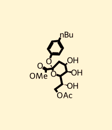 CCCCc1ccc(O[C@]2(C(=O)OC)C[C@@H](O)[C@@H](O)C([C@H](O)COC(C)=O)O2)cc1